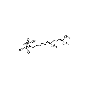 CC(C)=CCC/C(C)=C/CCCCCC([PH](=O)CO)P(=O)(O)O